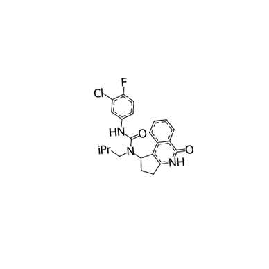 CC(C)CN(C(=O)Nc1ccc(F)c(Cl)c1)C1CCc2[nH]c(=O)c3ccccc3c21